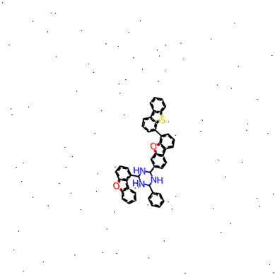 c1ccc(C2NC(c3ccc4c(c3)oc3c(-c5cccc6c5sc5ccccc56)cccc34)NC(c3cccc4oc5ccccc5c34)N2)cc1